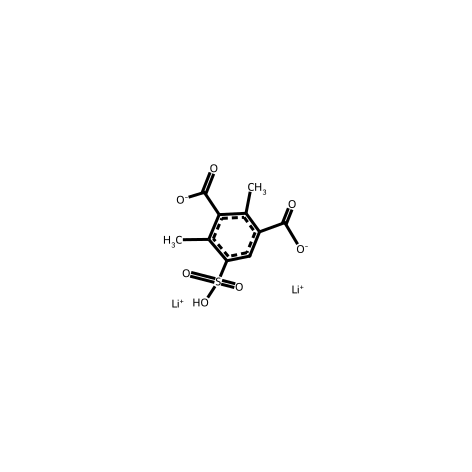 Cc1c(C(=O)[O-])cc(S(=O)(=O)O)c(C)c1C(=O)[O-].[Li+].[Li+]